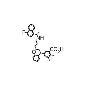 Cc1cc([C@@H]2C[C@H](CCCN[C@H](C)c3ccc(F)c4ccccc34)Oc3ccccc32)cc(C(=O)O)c1C